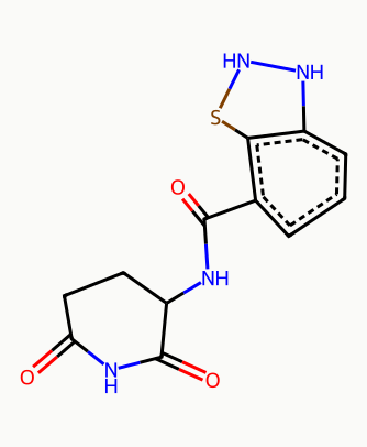 O=C1CCC(NC(=O)c2cccc3c2SNN3)C(=O)N1